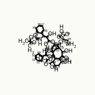 CC(=O)O[C@@]12CO[C@@H]1C[C@H](O)[C@@]1(C)C(=O)[C@H](O)C3=C(C)[C@@H](OC(=O)C(O)[C@@H](NC(=O)OC(C)(C)C)c4ccccc4)C[C@@](O)([C@@H](OC(=O)c4ccccc4)[C@H]21)C3(C)C.NCCS(=O)(=O)O